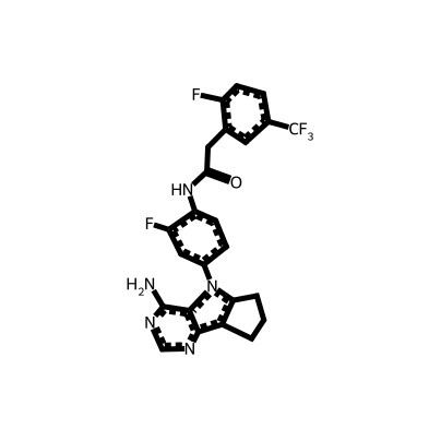 Nc1ncnc2c3c(n(-c4ccc(NC(=O)Cc5cc(C(F)(F)F)ccc5F)c(F)c4)c12)CCC3